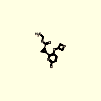 CCOC(=O)[C@H]1C[C@@H]1c1nc(Cl)ccc1OC1COC1